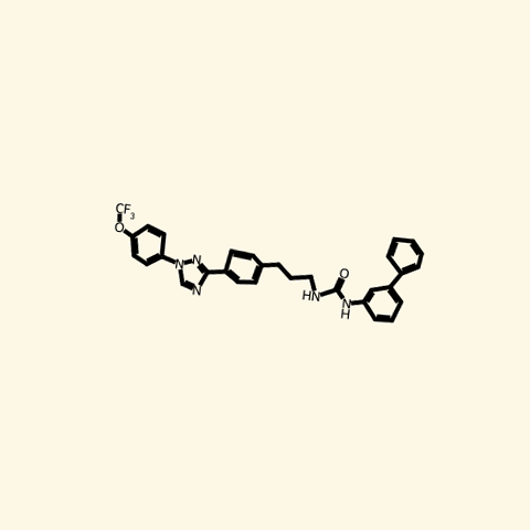 O=C(NCCCc1ccc(-c2ncn(-c3ccc(OC(F)(F)F)cc3)n2)cc1)Nc1cccc(-c2ccccc2)c1